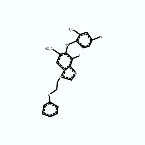 Cc1cc(Br)ccc1Nc1c(C(=O)O)cc2c(ncn2CCOc2ccccc2)c1F